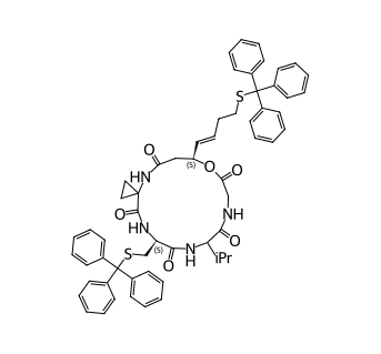 CC(C)C1NC(=O)[C@@H](CSC(c2ccccc2)(c2ccccc2)c2ccccc2)NC(=O)C2(CC2)NC(=O)C[C@@H](C=CCCSC(c2ccccc2)(c2ccccc2)c2ccccc2)OC(=O)CNC1=O